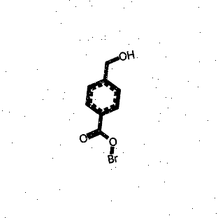 O=C(OBr)c1ccc(CO)cc1